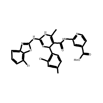 CCc1cccc2nc(NC3=NC(c4ccc(C)cc4Cl)C(C(=O)Nc4cc(C(=O)OC)ccn4)=C(C)N3)oc12